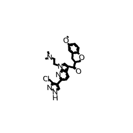 COc1ccc2c(c1)CC(C(=O)c1cn(CCN(C)C)c3nc(-c4c[nH]nc4Cl)ccc13)CO2